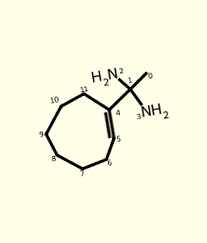 CC(N)(N)/C1=C/CCCCCC1